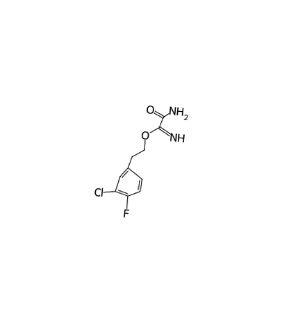 N=C(OCCc1ccc(F)c(Cl)c1)C(N)=O